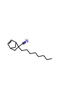 CCCCCCCCC1(C#N)CC2C=CC1C2